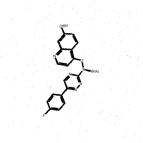 COc1ccc2c(ON(NC(C)=O)c3ncc(-c4ccc(F)cc4)nn3)ccnc2c1